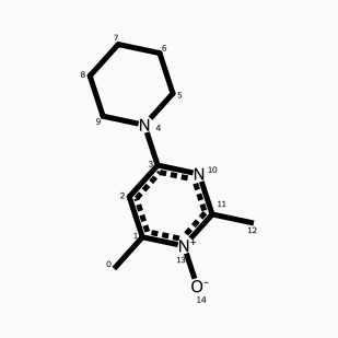 Cc1cc(N2CCCCC2)nc(C)[n+]1[O-]